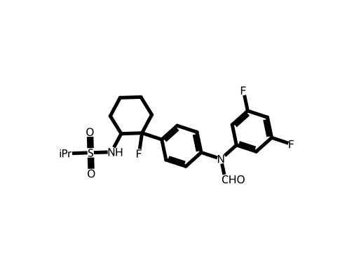 CC(C)S(=O)(=O)NC1CCCCC1(F)c1ccc(N(C=O)c2cc(F)cc(F)c2)cc1